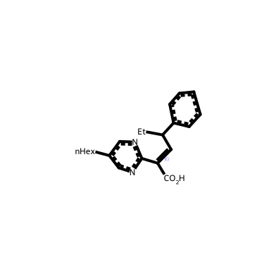 CCCCCCc1cnc(/C(=C\C(CC)c2ccccc2)C(=O)O)nc1